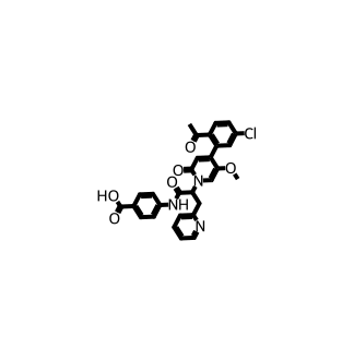 COc1cn(C(Cc2ccccn2)C(=O)Nc2ccc(C(=O)O)cc2)c(=O)cc1-c1cc(Cl)ccc1C(C)=O